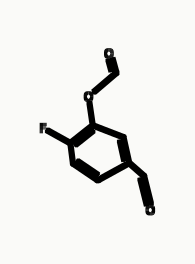 O=COc1cc(C=O)ccc1F